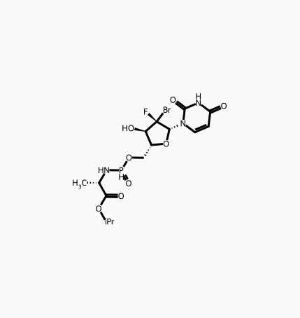 CC(C)OC(=O)[C@H](C)N[PH](=O)OC[C@H]1O[C@@H](n2ccc(=O)[nH]c2=O)[C@@](F)(Br)[C@@H]1O